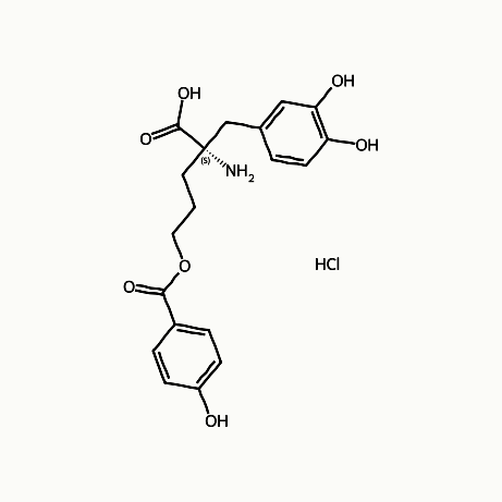 Cl.N[C@@](CCCOC(=O)c1ccc(O)cc1)(Cc1ccc(O)c(O)c1)C(=O)O